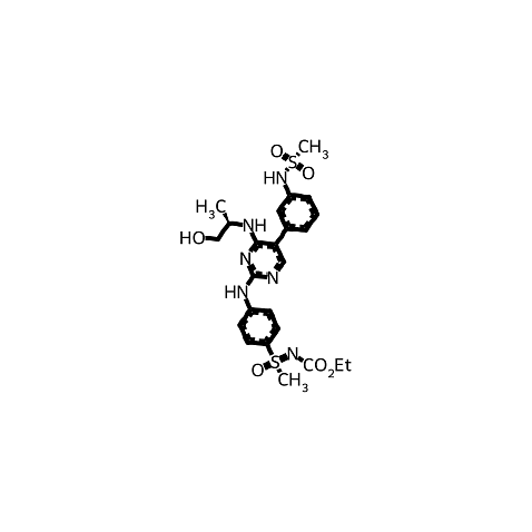 CCOC(=O)N=S(C)(=O)c1ccc(Nc2ncc(-c3cccc(NS(C)(=O)=O)c3)c(N[C@H](C)CO)n2)cc1